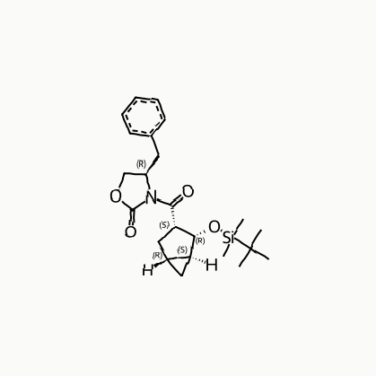 CC(C)(C)[Si](C)(C)O[C@@H]1[C@H]2C[C@@H]2C[C@@H]1C(=O)N1C(=O)OC[C@H]1Cc1ccccc1